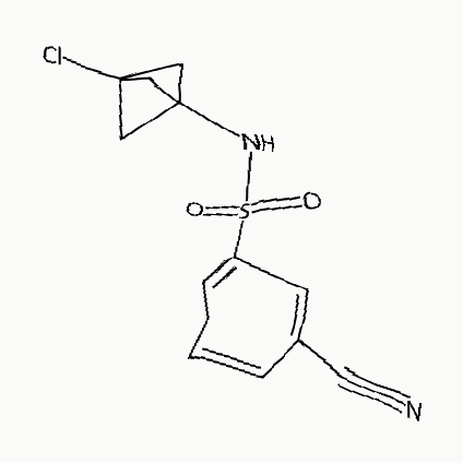 N#Cc1cccc(S(=O)(=O)NC23CC(Cl)(C2)C3)c1